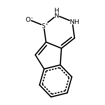 [O-][S+]1NNC=C2C1=Cc1ccccc12